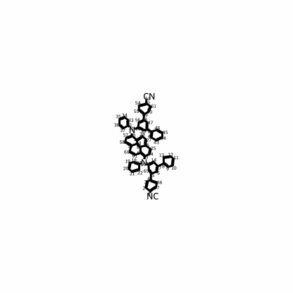 [C-]#[N+]c1ccc(-c2cc(-c3ccccc3)cc(N(c3ccccc3)c3ccc4ccc5c(N(c6ccccc6)c6cc(-c7ccccc7)cc(-c7ccc(C#N)cc7)c6)ccc6ccc3c4c65)c2)cc1